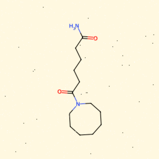 NC(=O)CCCCC(=O)N1CCCCCCC1